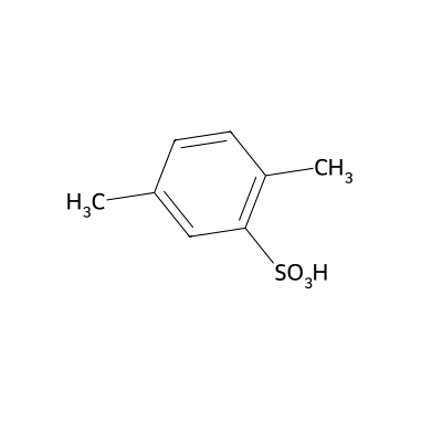 Cc1ccc(C)c(S(=O)(=O)O)c1